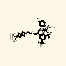 CN(C(=O)Oc1c(/C(C=N)=C/NCCN2CC3(C2)CC(C)(O)C3)cc(C(F)(F)F)cc1C(F)(F)F)c1ccc(F)cc1